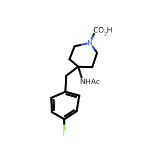 CC(=O)NC1(Cc2ccc(F)cc2)CCN(C(=O)O)CC1